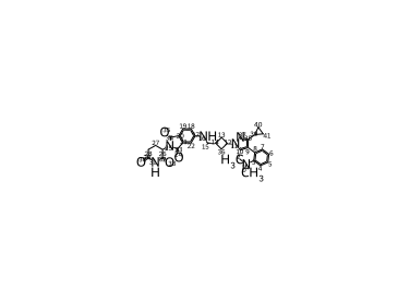 CN(C)c1ccccc1-c1cn([C@H]2C[C@H](CNc3ccc4c(c3)C(=O)N(C3CCC(=O)NC3=O)C4=O)C2)nc1C1CC1